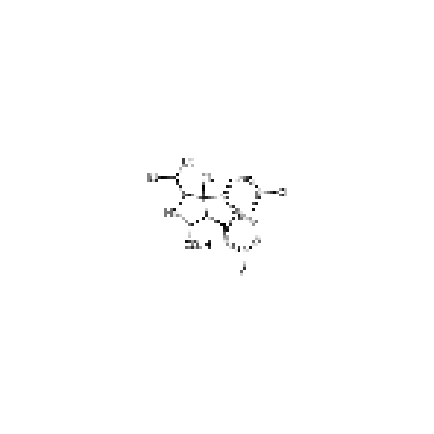 CCC(CC)[C@@H]1N[C@@H](C(=O)O)[C@H](c2cccc(Cl)c2)[C@@]1(C#N)c1ccc(Cl)cc1